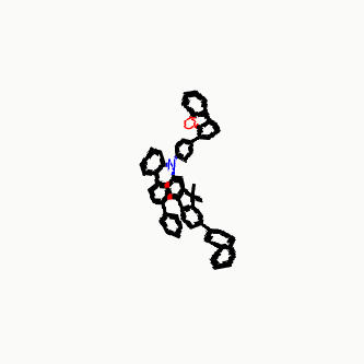 CC1(C)c2cc(-c3ccc4ccccc4c3)ccc2-c2ccc(N(c3ccc(-c4cccc5c4oc4ccccc45)cc3)c3ccccc3-c3ccc(-c4ccccc4)cc3)cc21